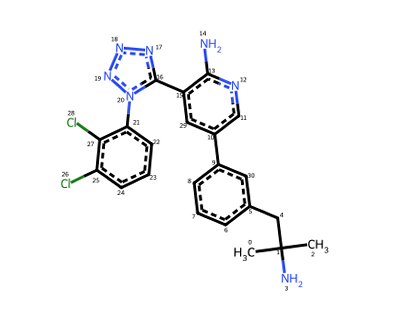 CC(C)(N)Cc1cccc(-c2cnc(N)c(-c3nnnn3-c3cccc(Cl)c3Cl)c2)c1